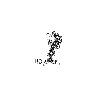 CC(C)[C@]1(C(=O)N2COc3ccc(C(F)(F)F)cc3C2)CC[C@@H](N2CCC(c3cc(C(=O)O)cc(C(F)(F)F)c3)CC2)C1